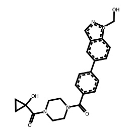 O=C(c1ccc(-c2ccc3c(cnn3CO)c2)cc1)N1CCN(C(=O)C2(O)CC2)CC1